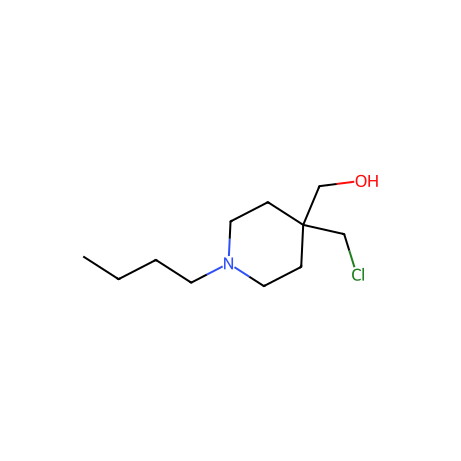 CCCCN1CCC(CO)(CCl)CC1